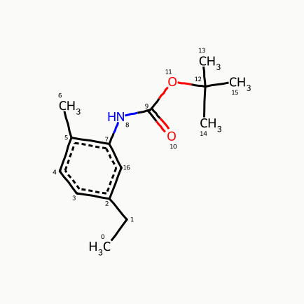 CCc1ccc(C)c(NC(=O)OC(C)(C)C)c1